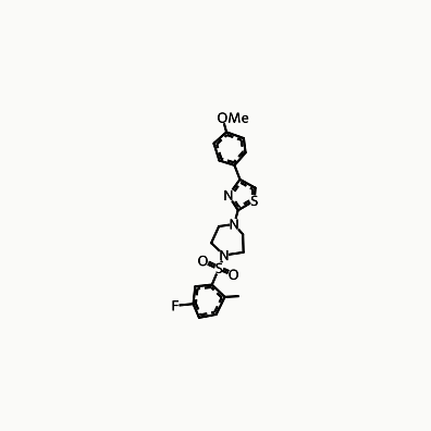 COc1ccc(-c2csc(N3CCN(S(=O)(=O)c4cc(F)ccc4C)CC3)n2)cc1